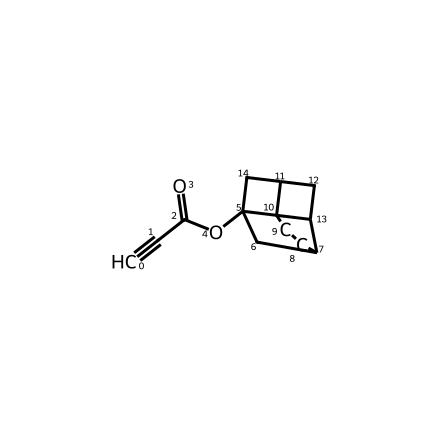 C#CC(=O)OC12CC3CCC14C(CC34)C2